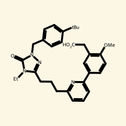 CCn1c(CCCc2cccc(-c3ccc(OC)c(CC(=O)O)c3)n2)nn(Cc2ccc(C(C)(C)C)cc2)c1=O